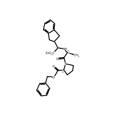 CCOC(=O)C(N[C@@H](C)C(=O)N1CCC[C@H]1C(=O)OCc1ccccc1)C1Cc2ccccc2C1